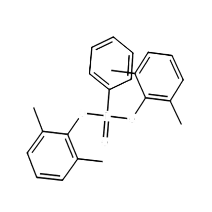 Cc1cccc(C)c1OP(=O)(Oc1c(C)cccc1C)c1ccccc1